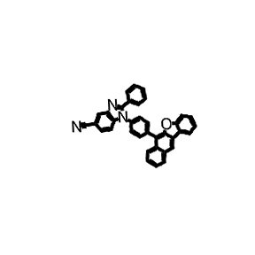 N#Cc1ccc2c(c1)nc(-c1ccccc1)n2-c1ccc(-c2c3ccccc3cc3c2oc2ccccc23)cc1